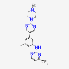 CCN1CCN(c2ncc(-c3cc(C)cc(Nc4nccc(C(F)(F)F)n4)c3)cn2)CC1